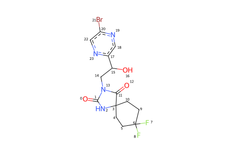 O=C1NC2(CCC(F)(F)CC2)C(=O)N1CC(O)c1cnc(Br)cn1